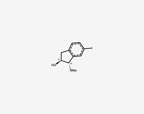 CN[C@H]1c2cc(I)ccc2C[C@@H]1O